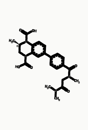 C[C@H]1CN(C(=O)O)c2cc(-c3ccc(C(=O)N(C)CC(=O)N(C)C)cc3)ccc2N1C(=O)O